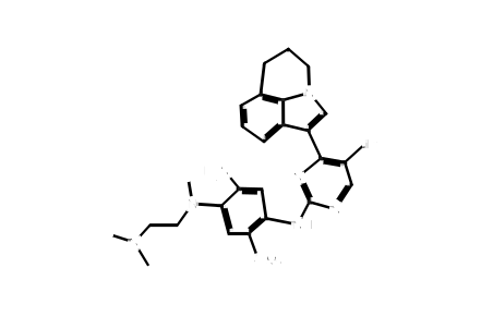 COc1cc(N(C)CCN(C)C)c(N)cc1Nc1ncc(C(C)C)c(-c2cn3c4c(cccc24)CCC3)n1